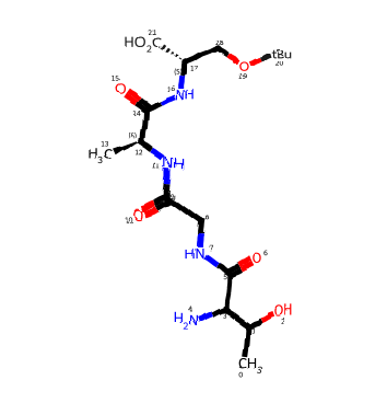 CC(O)C(N)C(=O)NCC(=O)N[C@@H](C)C(=O)N[C@@H](COC(C)(C)C)C(=O)O